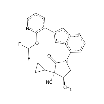 C[C@@H]1CN(c2ccnn3cc(-c4cccnc4OC(F)F)cc23)C(=O)[C@]1(C#N)C1CC1